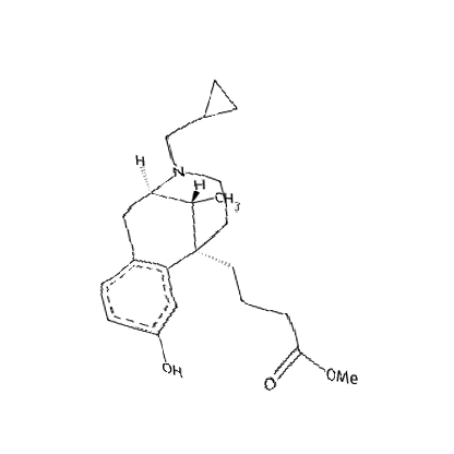 COC(=O)CCC[C@]12CCN(CC3CC3)[C@H](Cc3ccc(O)cc31)[C@@H]2C